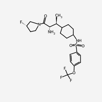 C[C@@H](C1CCC(NS(=O)(=O)c2ccc(OC(F)(F)F)cc2)CC1)[C@H](N)C(=O)N1CC[C@H](F)C1